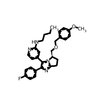 CCCCNc1cc(-c2c(-c3ccc(F)cc3)nc3n2[C@@H](COCc2ccc(OC)cc2)CC3)ccn1